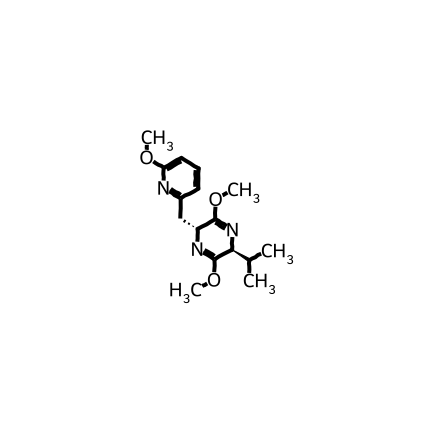 COC1=N[C@H](Cc2cccc(OC)n2)C(OC)=N[C@H]1C(C)C